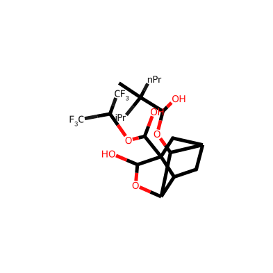 CCCC(C)(C(C)C)C(O)OC1C2CC3C1OC(O)C3(C(O)OC(C(F)(F)F)C(F)(F)F)C2